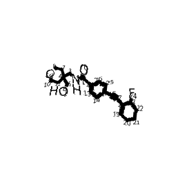 O=C(NCC1(CO)CCOCC1)c1ccc(C#CC2=CCCCC2F)cc1